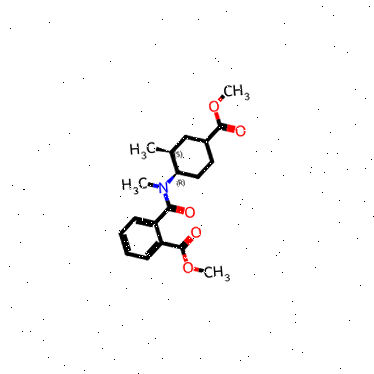 COC(=O)c1ccccc1C(=O)N(C)[C@@H]1CCC(C(=O)OC)C[C@@H]1C